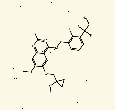 COc1cc2nc(C)nc(NCc3cccc(C(F)(F)CO)c3F)c2cc1OCC1(OC)CC1